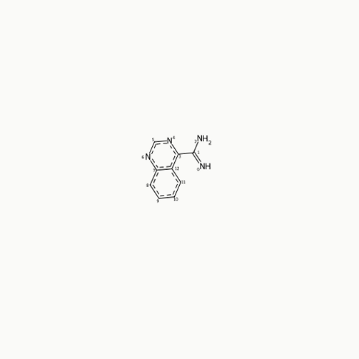 N=C(N)c1ncnc2ccccc12